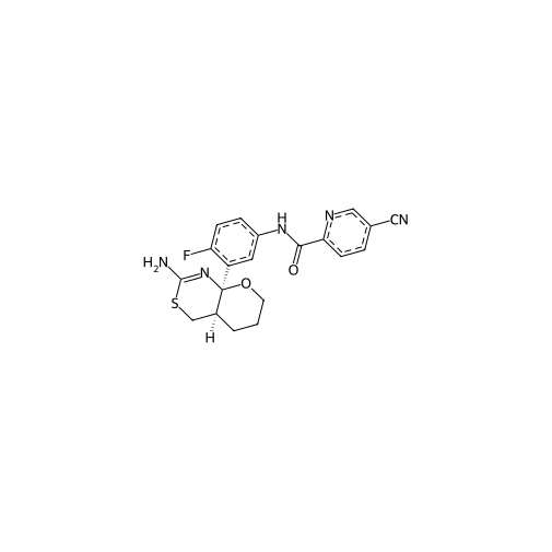 N#Cc1ccc(C(=O)Nc2ccc(F)c([C@@]34N=C(N)SC[C@@H]3CCCO4)c2)nc1